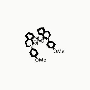 COc1ccc(N2CCc3ccccc3[C@@H]2O[PH](=O)O[C@H]2c3ccccc3CCN2c2ccc(OC)cc2)cc1